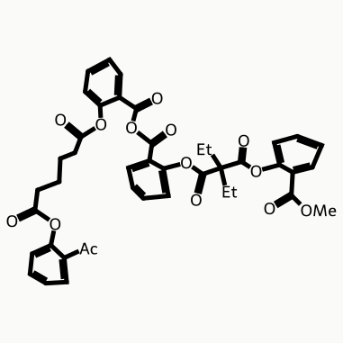 CCC(CC)(C(=O)Oc1ccccc1C(=O)OC)C(=O)Oc1ccccc1C(=O)OC(=O)c1ccccc1OC(=O)CCCCC(=O)Oc1ccccc1C(C)=O